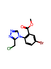 COC(=O)c1cc(Br)ccc1-n1cnnc1CCl